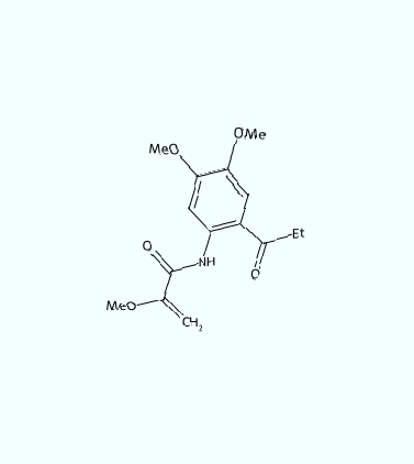 C=C(OC)C(=O)Nc1cc(OC)c(OC)cc1C(=O)CC